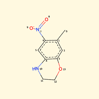 Cc1cc2c(cc1[N+](=O)[O-])NCCO2